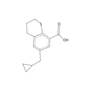 O=C(O)c1cc(CC2CC2)cc2c1SCCC2